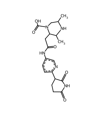 CC1CN(C(=O)O)C(CC(=O)Nc2ccc(C3CCC(=O)NC3=O)nc2)C(C)N1